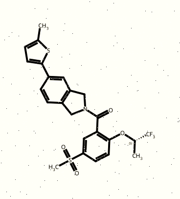 Cc1ccc(-c2ccc3c(c2)CN(C(=O)c2cc(S(C)(=O)=O)ccc2O[C@@H](C)C(F)(F)F)C3)s1